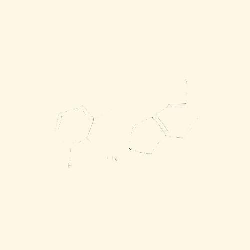 N#Cc1c(F)cccc1OC1CCc2ccc(F)cc21